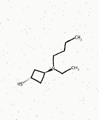 CCCCN(CC)[C@H]1C[C@H](S)C1